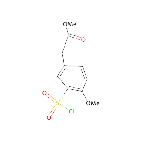 COC(=O)Cc1ccc(OC)c(S(=O)(=O)Cl)c1